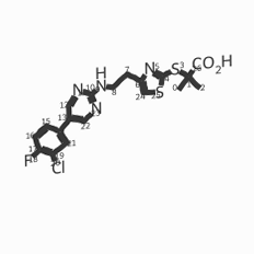 CC(C)(Sc1nc(CCNc2ncc(-c3ccc(F)c(Cl)c3)cn2)cs1)C(=O)O